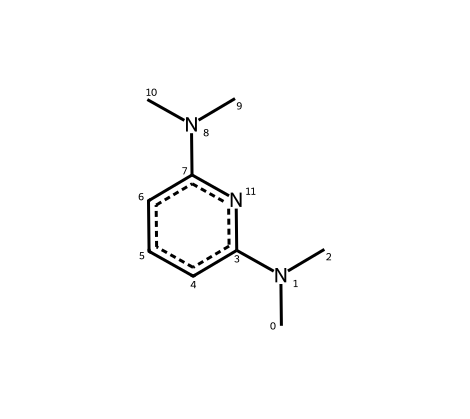 CN(C)c1cccc(N(C)C)n1